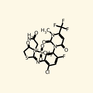 Cn1c(C(F)(F)F)cc(=O)n(-c2cc(N=C3SCC(=O)[N+]3(CC(N)=O)S(C)(=O)=O)c(Cl)cc2F)c1=O